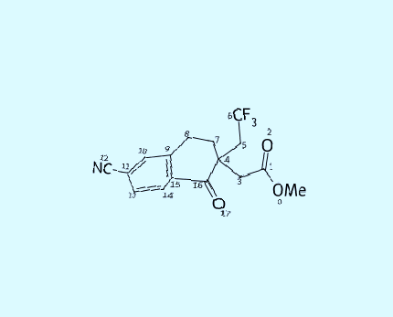 COC(=O)CC1(CC(F)(F)F)CCc2cc(C#N)ccc2C1=O